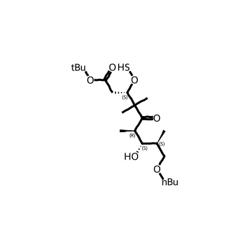 CCCCOC[C@H](C)[C@H](O)[C@@H](C)C(=O)C(C)(C)[C@H](CC(=O)OC(C)(C)C)OS